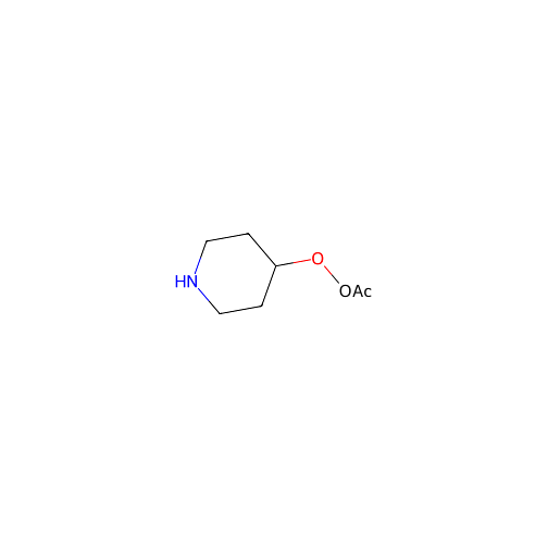 CC(=O)OOC1CCNCC1